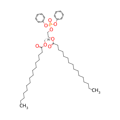 CCCCCCCCCCCCCCCC(=O)OC[C@H](COP(=O)(Oc1ccccc1)Oc1ccccc1)OC(=O)CCCCCCCCCCCCCCC